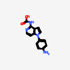 Nc1ccc(-n2ccc3c(NC(=O)O)nccc32)cc1